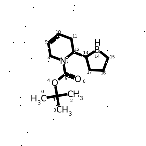 CC(C)(C)OC(=O)N1CC=CCC1C1BCCC1